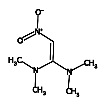 CN(C)C(=C[N+](=O)[O-])N(C)C